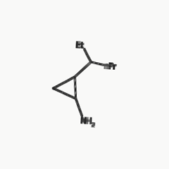 CCCC(CC)C1CC1N